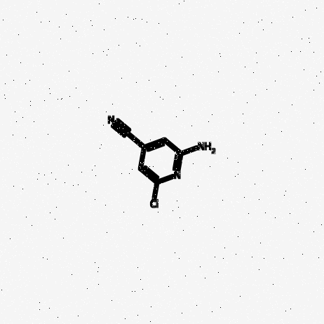 N#Cc1cc(N)nc(Cl)c1